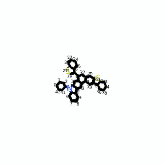 c1ccc(-n2c3ccccc3c3cc4c(cc32)c(-c2csc3ccccc23)cc2cc3sc5ccccc5c3cc24)cc1